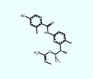 C/N=C(/N)O[C@@H]([C@H](F)c1nc(NC(=O)c2ncc(C#N)cc2C)ccc1F)C(F)(F)F